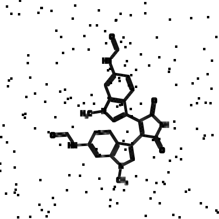 Cn1cc(C2=C(c3cn(C)c4cc(NC=O)ccc34)C(=O)NC2=O)c2ccc(NC=O)cc21